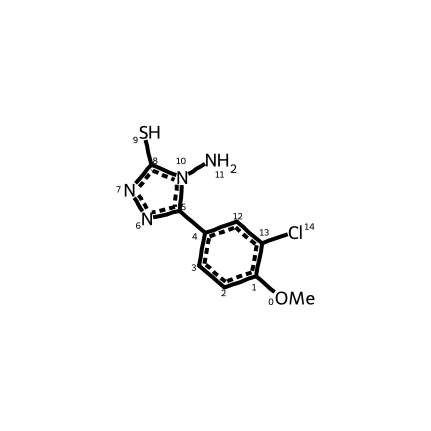 COc1ccc(-c2nnc(S)n2N)cc1Cl